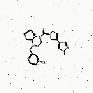 N#Cc1cccc(CN2CCN(C(=O)N3CCC(c4cn[nH]c4)C3)c3ccccc32)c1